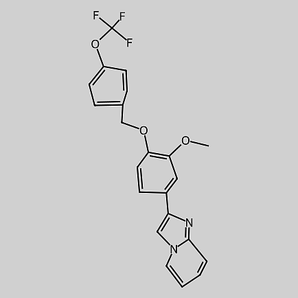 COc1cc(-c2cn3ccccc3n2)ccc1OCc1ccc(OC(F)(F)F)cc1